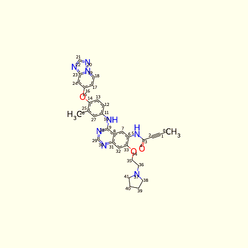 CC#CC(=O)Nc1cc2c(Nc3ccc(Oc4ccn5ncnc5c4)c(C)c3)ncnc2cc1OCCN1CCCC1